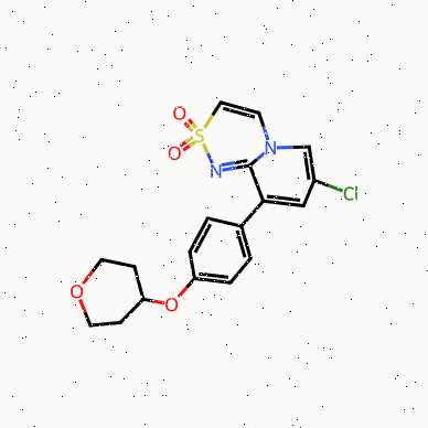 O=S1(=O)C=CN2C=C(Cl)C=C(c3ccc(OC4CCOCC4)cc3)C2=N1